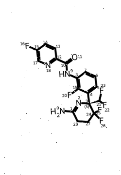 NC1=N[C@@](c2cccc(NC(=O)c3ccc(F)cn3)c2F)(C(F)F)C(F)(F)CC1